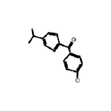 CC(C)c1ccc(C(=O)c2ccc(Cl)cc2)cc1